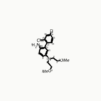 COCCN(CCOC)c1ccc(N)c(-c2ccc(Cl)cc2Cl)c1